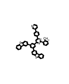 Cc1ccccc1-c1nc(-c2ccc(-c3cccnc3)cc2)cc(-c2cc(-c3ccc4sc5ccccc5c4c3)cc(-c3ccc4sc5ccccc5c4c3)c2)n1